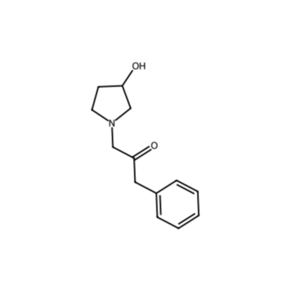 O=C(Cc1ccccc1)CN1CCC(O)C1